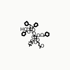 CC(=O)CCC(=O)O[C@H]1[C@@H](OCOCc2ccccc2)[C@H](OC[C@H](OCc2ccccc2)[C@H](OCc2ccccc2)[C@@H](CO)OCc2ccccc2)O[C@@H]1CO[Si](C)(C)C(C)(C)C